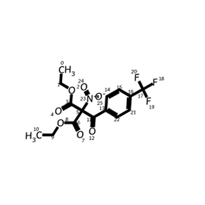 CCOC(=O)C(C(=O)OCC)(C(=O)c1ccc(C(F)(F)F)cc1)[N+](=O)[O-]